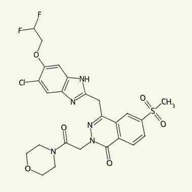 CS(=O)(=O)c1ccc2c(=O)n(CC(=O)N3CCOCC3)nc(Cc3nc4cc(Cl)c(OCC(F)F)cc4[nH]3)c2c1